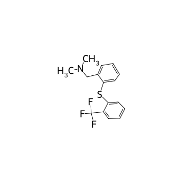 CN(C)Cc1ccccc1Sc1ccccc1C(F)(F)F